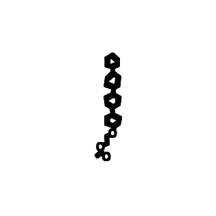 CC(=O)OCCOc1ccc(-c2ccc(-c3ccc(-c4ccccc4)cc3)cc2)cc1